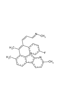 C/N=C/C=C\C(=C(/C)c1c(C)ccc2c1oc1nc(C)ccc12)c1ccc(F)cc1